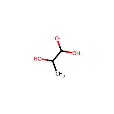 CC(O)C([O])O